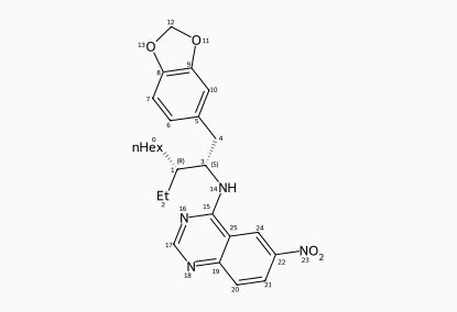 CCCCCC[C@@H](CC)[C@H](Cc1ccc2c(c1)OCO2)Nc1ncnc2ccc([N+](=O)[O-])cc12